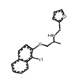 CC(COc1ccc2ccccc2c1Cl)NCc1ccco1